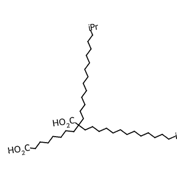 CC(C)CCCCCCCCCCCCCC(CCCCCCCCCCCCCC(C)C)(CCCCCCCC(=O)O)C(=O)O